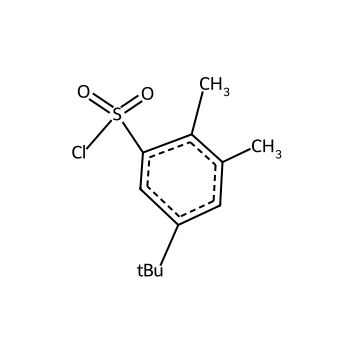 Cc1cc(C(C)(C)C)cc(S(=O)(=O)Cl)c1C